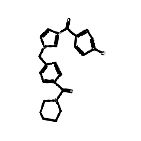 O=C(c1ccc(Cn2cc[n+](C(=O)c3ccc(Cl)cc3)c2)cc1)N1CCCCC1